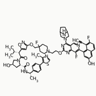 C#Cc1c(F)ccc2cc(O)cc(-c3ncc4c(N5CC6CCC(C5)N6)nc(OCCN5CCC(F)(COc6cc([C@H](C(=O)N7C[C@H](O)C[C@H]7C(=O)N[C@@H](C)c7ccc(-c8scnc8C)cc7)C(C)C)on6)CC5)nc4c3F)c12